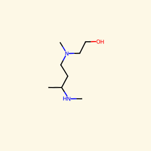 CNC(C)CCN(C)CCO